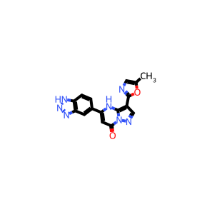 Cc1cnc(-c2cnn3c(=O)cc(-c4ccc5[nH]nnc5c4)[nH]c23)o1